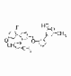 CCC[C@@H](CC(=O)O)c1cccc(OCc2ccc(-c3cc(OC)ccc3F)c([C@H]3CCC[C@@H]3C)c2)c1